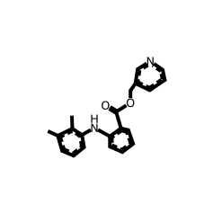 Cc1cccc(Nc2ccccc2C(=O)OCc2cccnc2)c1C